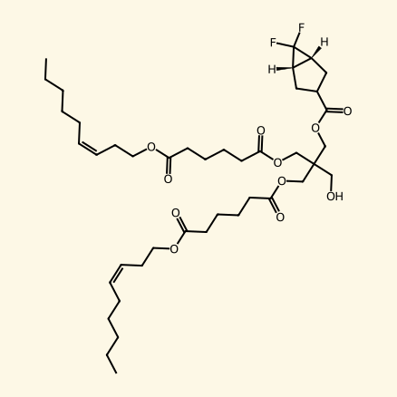 CCCCC/C=C\CCOC(=O)CCCCC(=O)OCC(CO)(COC(=O)CCCCC(=O)OCC/C=C\CCCCC)COC(=O)C1C[C@@H]2[C@H](C1)C2(F)F